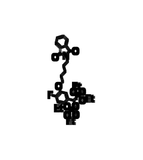 CCOP(=O)(OCC)OC(c1ccc(F)c(OCCCCCN2C(=O)c3ccccc3C2=O)c1)P(=O)(OCC)OCC